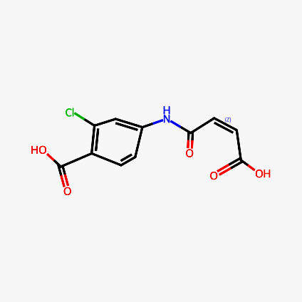 O=C(O)/C=C\C(=O)Nc1ccc(C(=O)O)c(Cl)c1